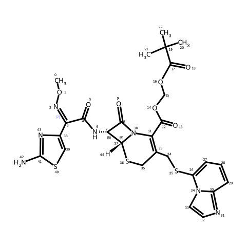 CO/N=C(\C(=O)N[C@@H]1C(=O)N2C(C(=O)OCOC(=O)C(C)(C)C)=C(CSc3cccc4nccn34)CS[C@H]12)c1csc(N)n1